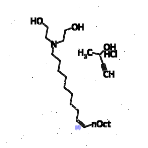 C#CC(C)O.CCCCCCCC/C=C\CCCCCCCCN(CCO)CCO.Cl